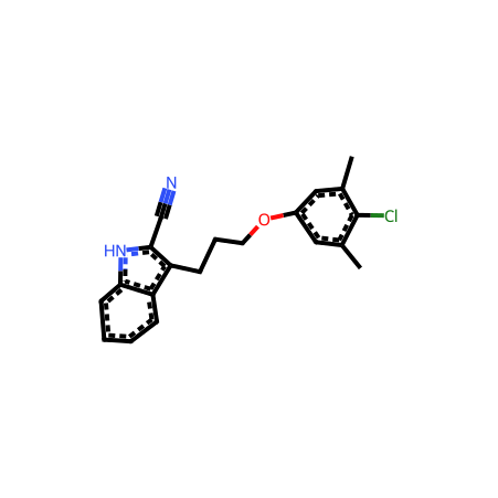 Cc1cc(OCCCc2c(C#N)[nH]c3ccccc23)cc(C)c1Cl